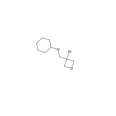 CCC1(COC2CCCCC2)COC1